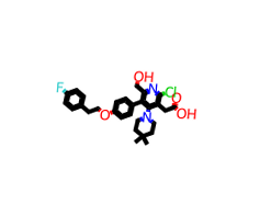 CC1(C)CCN(c2c(CC(=O)O)c(Cl)nc(CO)c2-c2ccc(OCCc3ccc(F)cc3)cc2)CC1